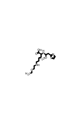 CCOCCNCCCCC(NC(Cc1nccs1)OC)C(=O)O